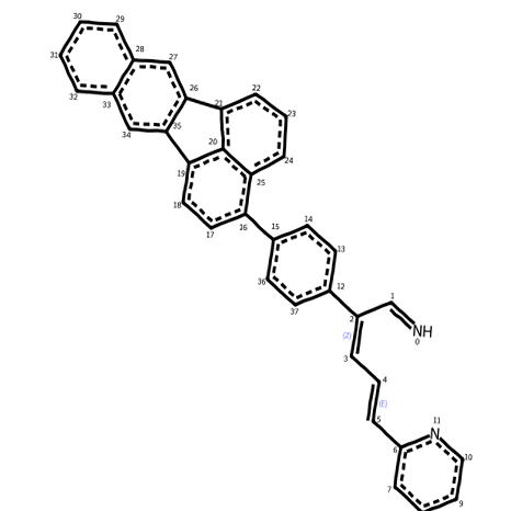 N=C/C(=C\C=C\c1ccccn1)c1ccc(-c2ccc3c4c(cccc24)-c2cc4ccccc4cc2-3)cc1